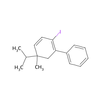 CC(C)C1(C)C=CC(I)=C(c2ccccc2)C1